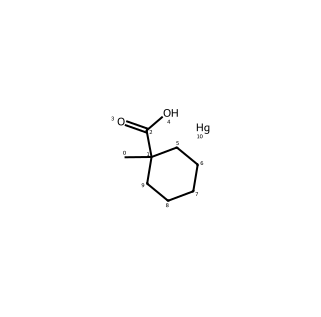 CC1(C(=O)O)CCCCC1.[Hg]